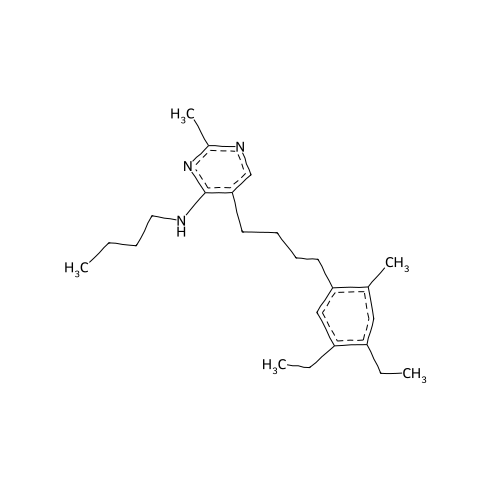 CCCCNc1nc(C)ncc1CCCCc1cc(CC)c(CC)cc1C